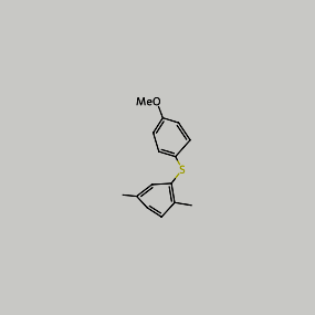 COc1ccc(Sc2cc(C)ccc2C)cc1